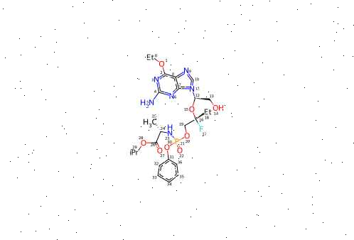 CCOc1nc(N)nc2c1ncn2[C@@H](CO)O[C@@](F)(CC)COP(=O)(N[C@@H](C)C(=O)OC(C)C)Oc1ccccc1